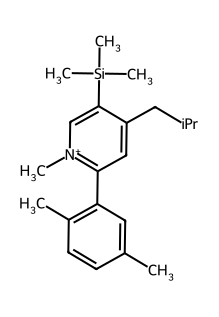 Cc1ccc(C)c(-c2cc(CC(C)C)c([Si](C)(C)C)c[n+]2C)c1